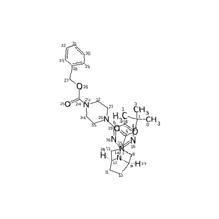 CC(C)(C)OC(=O)N1C[C@H]2CC[C@@H](C1)N2c1nccc(N2CCN(C(=O)OCc3ccccc3)CC2)n1